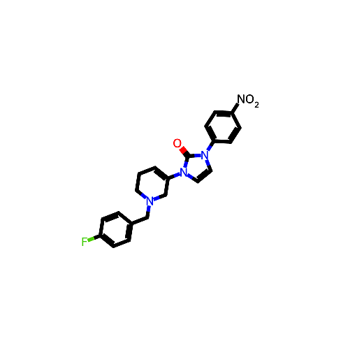 O=c1n(C2=CCCN(Cc3ccc(F)cc3)C2)ccn1-c1ccc([N+](=O)[O-])cc1